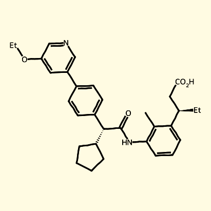 CCOc1cncc(-c2ccc([C@H](C(=O)Nc3cccc([C@H](CC)CC(=O)O)c3C)C3CCCC3)cc2)c1